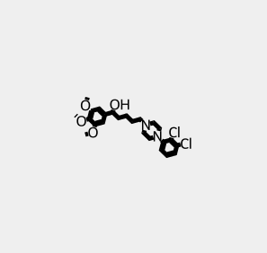 COc1cc(C(O)CCCCN2CCN(c3cccc(Cl)c3Cl)CC2)cc(OC)c1OC